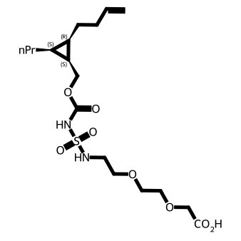 C=CCC[C@@H]1[C@H](CCC)[C@@H]1COC(=O)NS(=O)(=O)NCCOCCOCC(=O)O